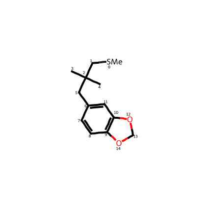 CSCC(C)(C)Cc1ccc2c(c1)OCO2